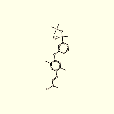 CCN(C)C=Nc1cc(C)c(Oc2cccc(C(C)(O[Si](C)(C)C)C(F)(F)F)c2)cc1C